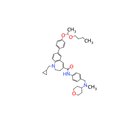 CCCCOC(C)Oc1ccc(-c2ccc3c(c2)C=C(C(=O)Nc2ccc(CN(C)C4CCOCC4)cc2)CCN3CC2CC2)cc1